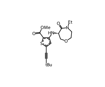 CCN1CCOC[C@@H](Nc2cc(C#CC(C)(C)C)sc2C(=O)OC)C1=O